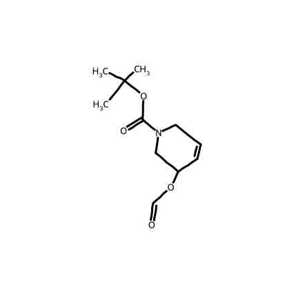 CC(C)(C)OC(=O)N1CC=CC(OC=O)C1